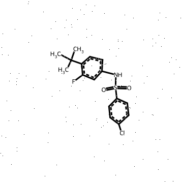 CC(C)(C)c1ccc(NS(=O)(=O)c2ccc(Cl)cc2)cc1F